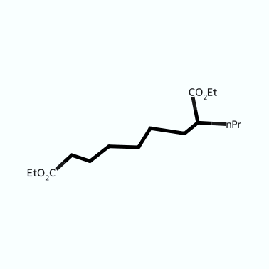 CCCC(CCCCCCC(=O)OCC)C(=O)OCC